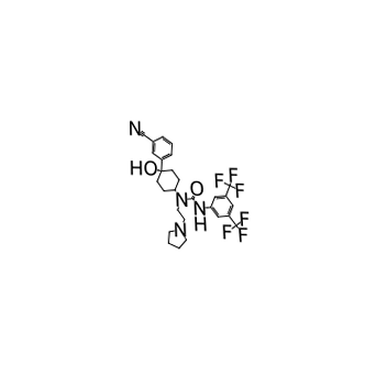 N#Cc1cccc([C@]2(O)CC[C@H](N(CCN3CCCC3)C(=O)Nc3cc(C(F)(F)F)cc(C(F)(F)F)c3)CC2)c1